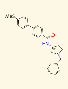 CSc1ccc(-c2ccc(C(=O)N[C@@H]3CCN(Cc4ccccc4)C3)cc2)cc1